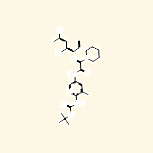 C=C(/C=C(Cl)\C=C(/C)Cl)[C@@H]1CCCCN1C(=O)C(=O)Nc1cnc(NC(=O)OC(C)(C)C)c(C)c1